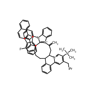 C=C1CC2C(CCc3cc(F)c4c(sc5c6ccccc6ccc54)c3-c3n(-c4ccccc4-c4ccccc4)c4ccccc4[n+]31)c1ccccc1-c1cc(CC(C)C)c([Si](C)(C)C)c[n+]12